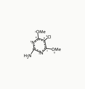 COc1nc(N)nc(OC)c1Cl